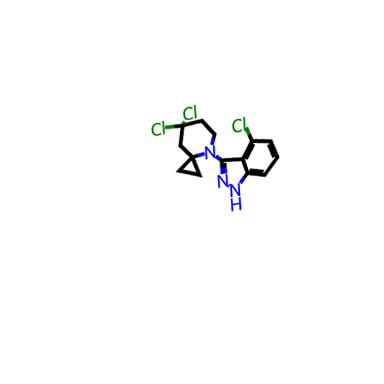 Clc1cccc2[nH]nc(N3CCC(Cl)(Cl)CC34CC4)c12